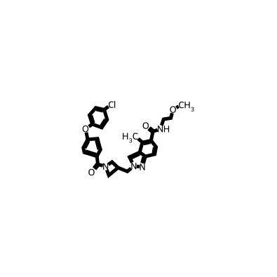 COCCNC(=O)c1ccc2nn(CC3CN(C(=O)c4ccc(Oc5ccc(Cl)cc5)cc4)C3)cc2c1C